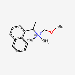 CCCCOC[N@+]([SiH3])(C(C)c1cccc2ccccc12)C(C)(C)C